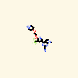 Cn1ccc2c(-c3cnc(OCCOC4CCNCC4)c(C(F)(F)F)c3)nc(C#N)nc21